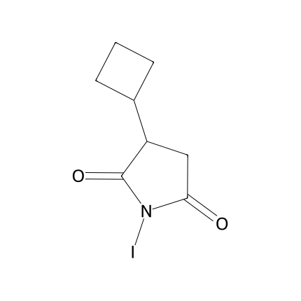 O=C1CC(C2CCC2)C(=O)N1I